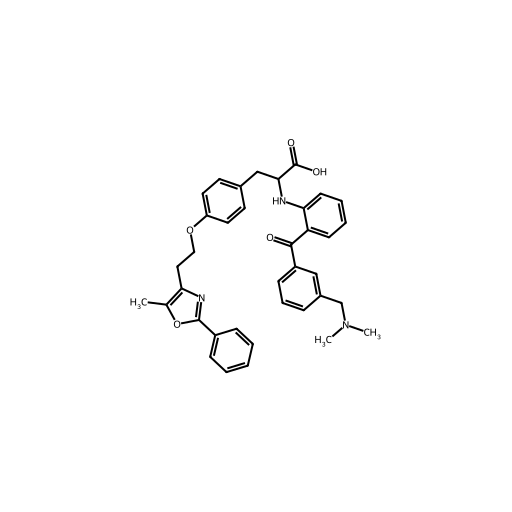 Cc1oc(-c2ccccc2)nc1CCOc1ccc(CC(Nc2ccccc2C(=O)c2cccc(CN(C)C)c2)C(=O)O)cc1